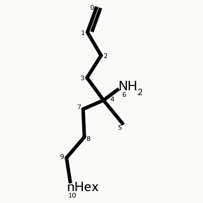 C=CCCC(C)(N)CCCCCCCCC